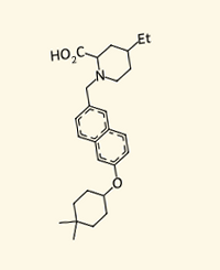 CCC1CCN(Cc2ccc3cc(OC4CCC(C)(C)CC4)ccc3c2)C(C(=O)O)C1